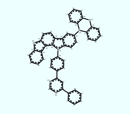 c1ccc(-c2cc(-c3ccc(-n4c5ccc(N6c7ccccc7Oc7ccccc76)cc5c5ccc6oc7ccccc7c6c54)cc3)ncn2)cc1